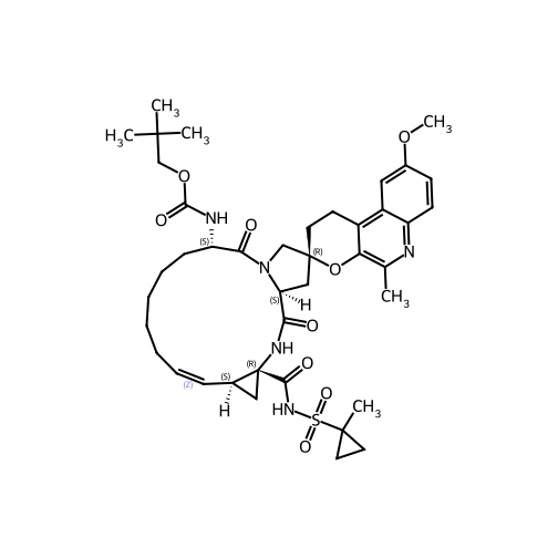 COc1ccc2nc(C)c3c(c2c1)CC[C@]1(C[C@H]2C(=O)N[C@]4(C(=O)NS(=O)(=O)C5(C)CC5)C[C@H]4/C=C\CCCCC[C@H](NC(=O)OCC(C)(C)C)C(=O)N2C1)O3